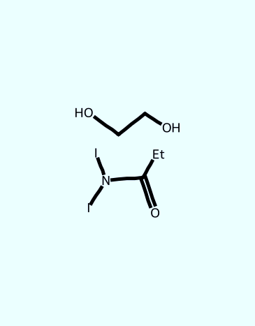 CCC(=O)N(I)I.OCCO